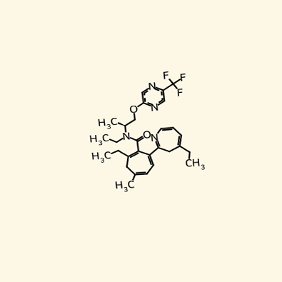 CCC1=CC=CN=C(C2=CC=C(C)CC(CC)=C2C(=O)N(CC)[C@@H](C)COc2cnc(C(F)(F)F)cn2)C1